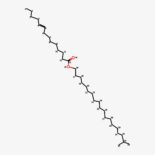 CCCCC=CCCCCCCCC(=O)OCCCCCCCCCCCCCCCCCC(C)C